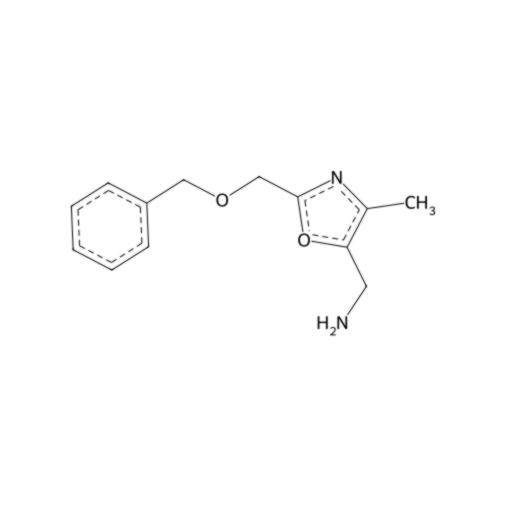 Cc1nc(COCc2ccccc2)oc1CN